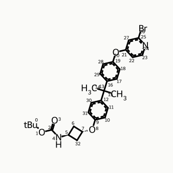 CC(C)(C)OC(=O)N[C@H]1C[C@H](Oc2ccc(C(C)(C)c3ccc(Oc4ccnc(Br)c4)cc3)cc2)C1